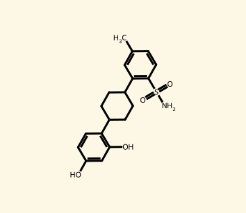 Cc1ccc(S(N)(=O)=O)c(C2CCC(c3ccc(O)cc3O)CC2)c1